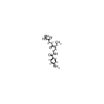 CCN(CCNC(=O)c1ccc(N)cc1)C(=O)CCC(=O)NO